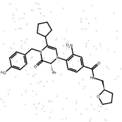 CC(C)[C@@H]1C(=O)N(Cc2ccc(O)cc2)C(C2CCCC2)=CN1c1ccc(C(=O)NC[C@H]2CCCO2)cc1[N+](=O)[O-]